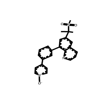 CC(C)(c1cc(-c2cccc(-c3cc[n+]([O-])cc3)c2)c2ncccc2c1)S(C)(=O)=O